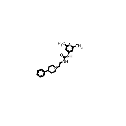 Cc1cc(NC(=O)NCCN2CCC(c3ccccc3)CC2)cc(C)n1